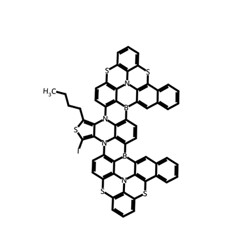 CCCCc1sc(I)c2c1N1c3ccc4c5c3B(c3ccc6c(c31)N2c1ccc2c3c1B6c1cc6ccccc6c6c1N3c1c(cccc1S6)S2)c1cc2ccccc2c2c1N5c1c(cccc1S2)S4